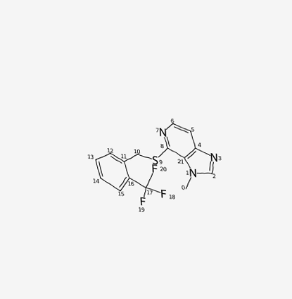 Cn1cnc2ccnc(SCc3ccccc3C(F)(F)F)c21